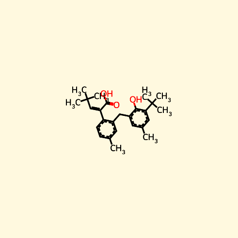 Cc1ccc(C(=CC(C)(C)C)C(=O)O)c(Cc2cc(C)cc(C(C)(C)C)c2O)c1